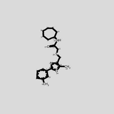 Cc1cccc(-c2nc(CSCC(=O)NC3CCCCCC3)c(C)o2)c1